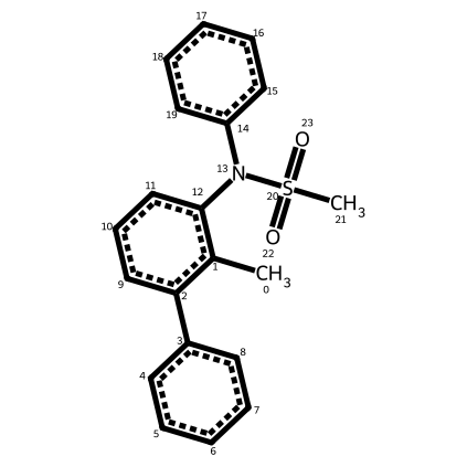 Cc1c(-c2ccccc2)cccc1N(c1ccccc1)S(C)(=O)=O